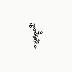 CC(C)c1ccccc1C1CCCN1C1CC2(CCN(c3ccc(C(=O)NS(=O)(=O)c4cnc(NCC5C6COCC56)c([N+](=O)[O-])c4)c(Oc4cnc5[nH]ccc5c4)c3)CC2)C1